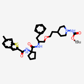 Cc1ccc2cc(C(=O)NC3(C(=O)NC(COCCC4CCN(NC(=O)OC(C)(C)C)CC4)Cc4ccccc4)CCCC3)sc2c1